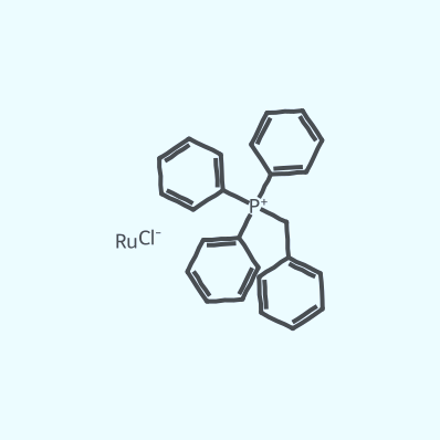 [Cl-].[Ru].c1ccc(C[P+](c2ccccc2)(c2ccccc2)c2ccccc2)cc1